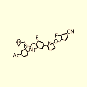 CC(=O)c1ccc2nc(Cc3c(F)cc(-c4cccc(OCc5ccc(C#N)cc5F)n4)cc3F)n(CC3CCO3)c2c1